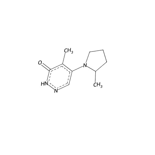 Cc1c(N2CCCC2C)cn[nH]c1=O